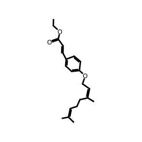 CCOC(=O)C=Cc1ccc(OCC=C(C)CCC=C(C)C)cc1